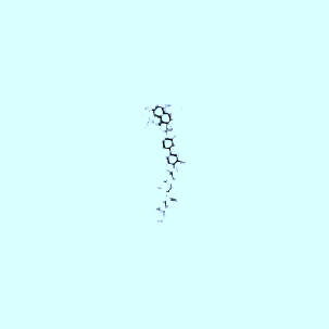 Cc1cc(-c2ccc(NC(=O)CN(CCN(CCN(CC(=O)O)CC(=O)O)CC(=O)O)CC(=O)O)c(C)c2)ccc1N=Nc1ccc2c(S(=O)(=O)O)cc(S(=O)(=O)O)c(N)c2c1O